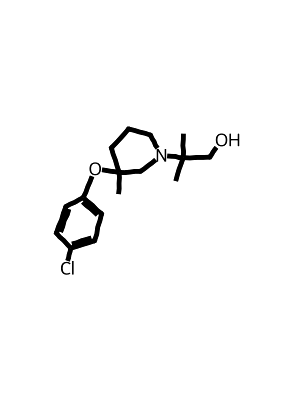 CC1(Oc2ccc(Cl)cc2)CCCN(C(C)(C)CO)C1